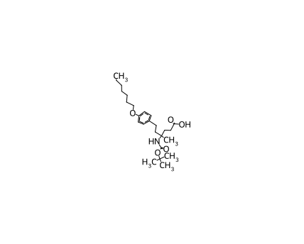 CCCCCCCOc1ccc(CCC(C)(CCC(=O)O)NC(=O)OC(C)(C)C)cc1